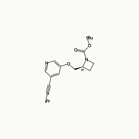 CC(C)[Si]#Cc1cncc(OC[C@@H]2CCN2C(=O)OC(C)(C)C)c1